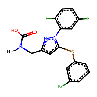 CN(Cc1cc(Sc2cccc(Br)c2)n(-c2cc(F)ccc2F)n1)C(=O)O